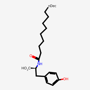 CCCCCCCCCCCCCCCCCCC(=O)N[C@@H](Cc1ccc(O)cc1)C(=O)O